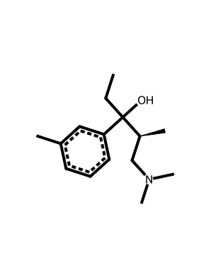 CCC(O)(c1cccc(C)c1)[C@@H](C)CN(C)C